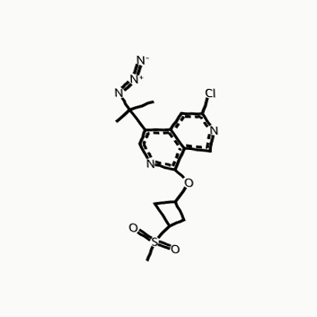 CC(C)(N=[N+]=[N-])c1cnc(OC2CC(S(C)(=O)=O)C2)c2cnc(Cl)cc12